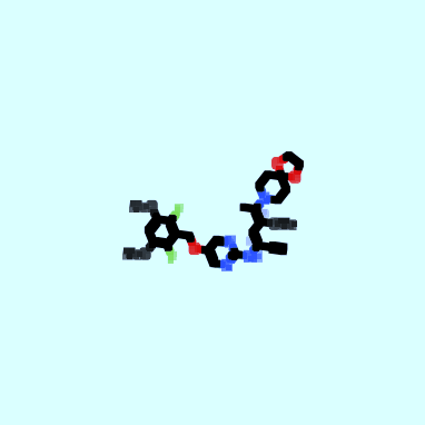 C#C/C(=C\C(OC)=C(/C)N1CCC2(CC1)OCCO2)Nc1ncc(OCc2c(F)c(OC)cc(OC)c2F)cn1